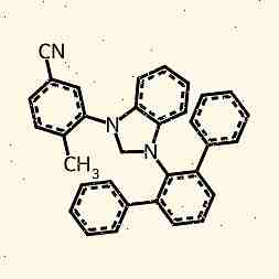 Cc1ccc(C#N)cc1N1CN(c2c(-c3ccccc3)cccc2-c2ccccc2)c2ccccc21